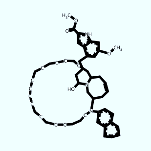 COC(=O)c1cc2c(CCCC(O)N3CC4CC=CCC3CCCCCCCCCCCCCCCCCCCCN4c3ccc4ccccc4c3)cc(OC)cc2[nH]1